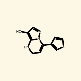 N#Cc1cnn2c1NCC=C2c1ccsc1